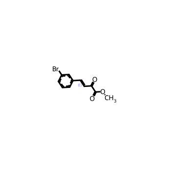 COC(=O)C(=O)/C=C/c1cccc(Br)c1